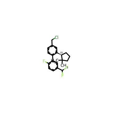 CC1(C)CCC[C@@H]1c1cc(CCl)ccc1-c1cc(C(F)F)ccc1F